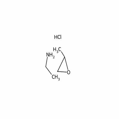 CC1CO1.CCN.Cl